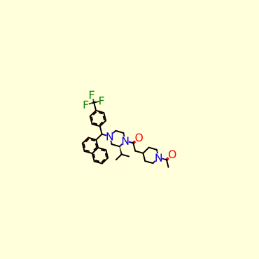 CC(=O)N1CCC(CC(=O)N2CCN(C(c3ccc(C(F)(F)F)cc3)c3cccc4ccccc34)C[C@@H]2C(C)C)CC1